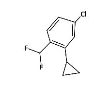 FC(F)c1ccc(Cl)cc1C1CC1